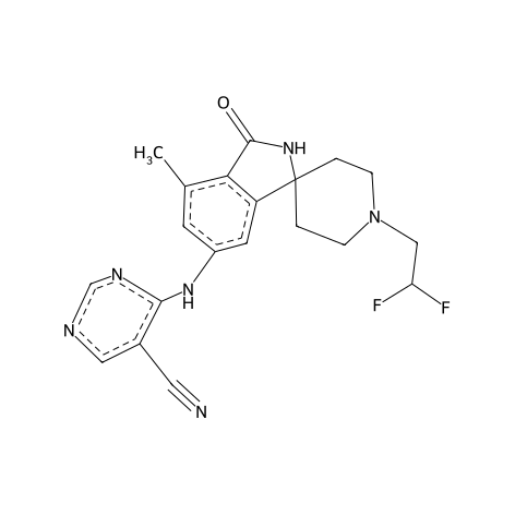 Cc1cc(Nc2ncncc2C#N)cc2c1C(=O)NC21CCN(CC(F)F)CC1